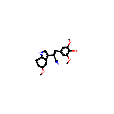 COc1ccc2[nH]cc(/C(C#N)=C/c3cc(OC)c(O)c(OC)c3)c2c1